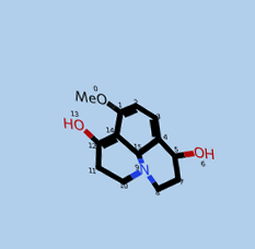 COC1=CC=C2C(O)CCN3CCC(O)=C1C23